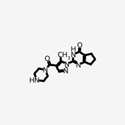 Cc1c(C(=O)N2CCNCC2)cnn1-c1nc2c(c(=O)[nH]1)CCC2